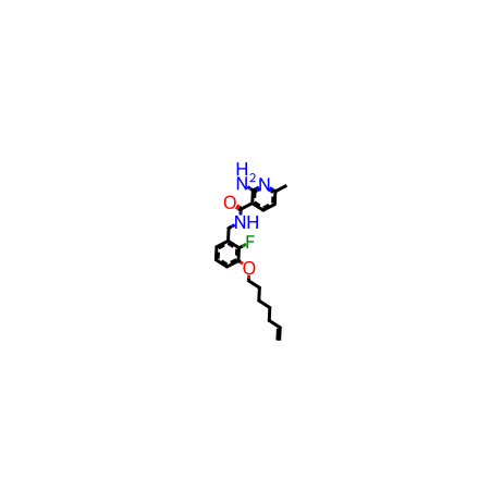 C=CCCCCCOc1cccc(CNC(=O)c2ccc(C)nc2N)c1F